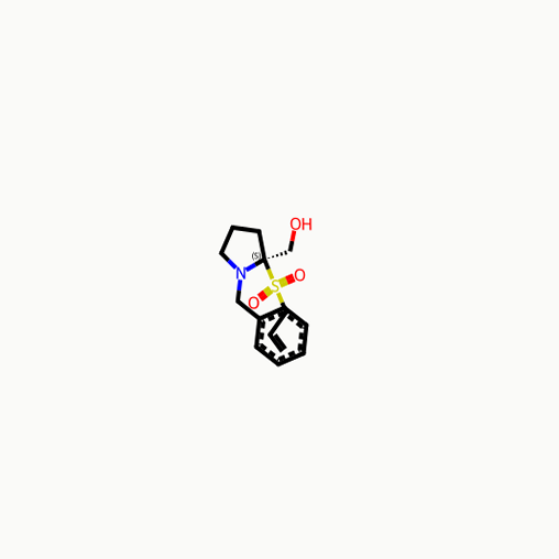 C=CCS(=O)(=O)[C@]1(CO)CCCN1Cc1ccccc1